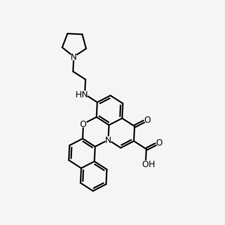 O=C(O)c1cn2c3c(c(NCCN4CCCC4)ccc3c1=O)Oc1ccc3ccccc3c1-2